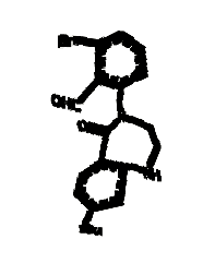 CC(C)(C)c1ccc2c(c1)NCCN(c1cccc(Br)c1C=O)C2=O